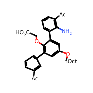 CCCCCCCCOc1cc(-c2cccc(C(C)=O)c2)c(OCC(=O)O)c(-c2cccc(C(C)=O)c2N)c1